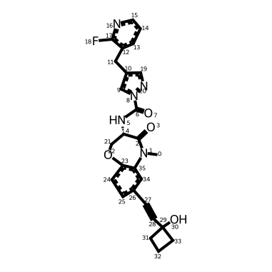 CN1C(=O)[C@@H](NC(=O)n2cc(Cc3cccnc3F)cn2)COc2ccc(C#CC3(O)CCC3)cc21